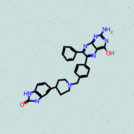 Nc1nc(O)c2nc(-c3ccc(CN4CCC(c5ccc6c(c5)[N]C(=O)N6)CC4)cc3)c(-c3ccccc3)nc2n1